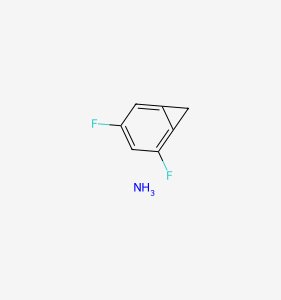 Fc1cc(F)c2c(c1)C2.N